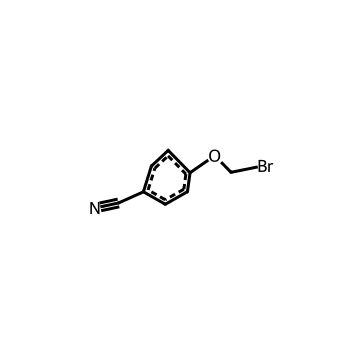 N#Cc1ccc(OCBr)cc1